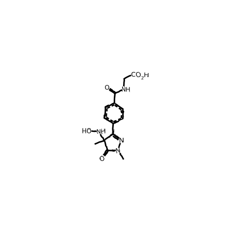 CN1N=C(c2ccc(C(=O)NCC(=O)O)cc2)C(C)(NO)C1=O